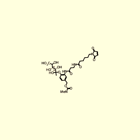 CNC(=O)OCc1ccc(OC(C)(O)[C@@H](O)[C@H](O)C(O)C(=O)O)c(NC(=O)CCNC(=O)CCCCCN2C(=O)C=CC2=O)c1